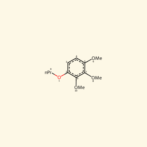 CCCOc1ccc(OC)c(OC)c1OC